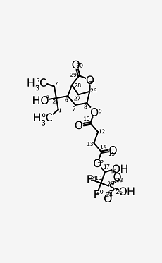 CCC(O)(CC)C1CC(OC(=O)CCC(=O)OC(O)C(F)(F)S(=O)(=O)O)C2CC1C(=O)O2